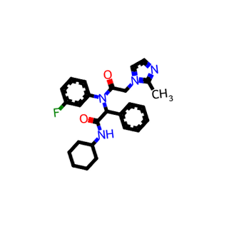 Cc1nccn1CC(=O)N(c1cccc(F)c1)C(C(=O)NC1CCCCC1)c1ccccc1